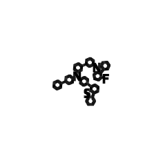 Fc1cccc2c1c1ccccc1n2-c1cccc(-c2cccc(N(c3ccc(-c4ccccc4)cc3)c3ccc(-c4cccc5c4sc4ccccc45)cc3)c2)c1